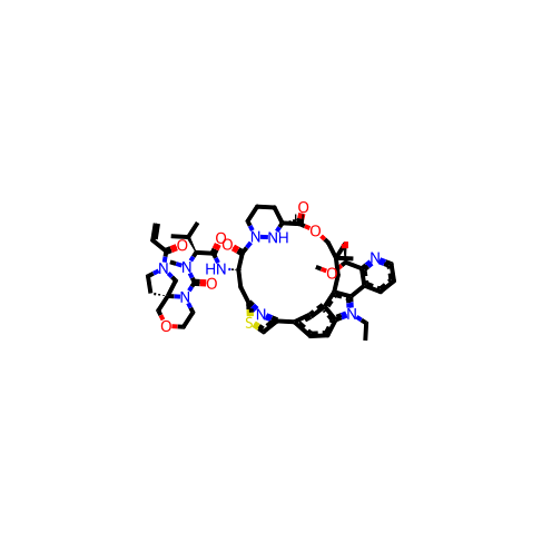 C=CC(=O)N1CC[C@]2(COCCN2C(=O)N(C)[C@H](C(=O)N[C@H]2Cc3nc(cs3)-c3ccc4c(c3)c(c(-c3cccnc3[C@H](C)OC)n4CC)CC(C)(C)COC(=O)[C@@H]3CCCN(N3)C2=O)C(C)C)C1